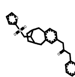 O=C(Cc1ccccc1)Cc1ccc2c(c1)CC1CCC(C2)C1CS(=O)(=O)c1cccs1